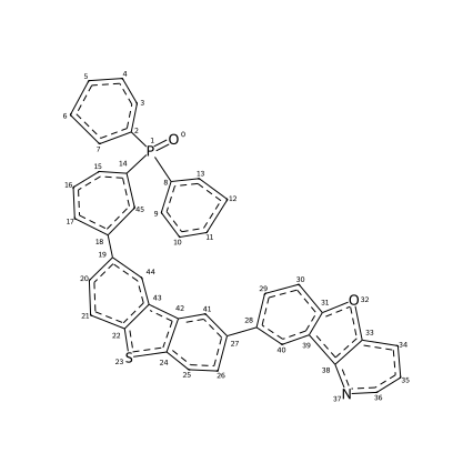 O=P(c1ccccc1)(c1ccccc1)c1cccc(-c2ccc3sc4ccc(-c5ccc6oc7cccnc7c6c5)cc4c3c2)c1